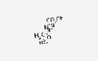 CCCCOC(C)n1cnc(C(=O)OCC)n1